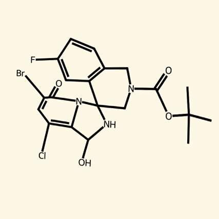 CC(C)(C)OC(=O)N1Cc2ccc(F)cc2C2(C1)NC(O)c1c(Cl)cc(Br)c(=O)n12